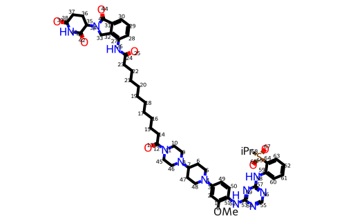 COc1cc(N2CCC(N3CCN(C(=O)CCCCCCCCCCC(=O)Nc4cccc5c4CN(C4CCC(=O)NC4=O)C5=O)CC3)CC2)ccc1Nc1ncnc(Nc2ccccc2S(=O)(=O)C(C)C)n1